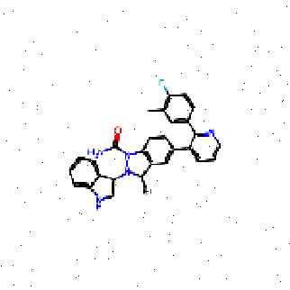 CCC1c2cc(-c3cccnc3-c3ccc(F)c(C)c3)ccc2N(C(N)=O)N1c1c[nH]c2ccccc12